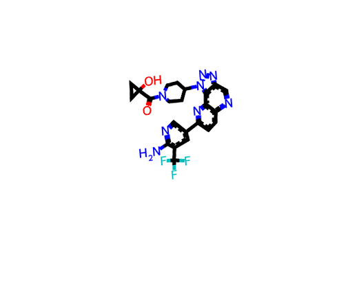 Nc1ncc(-c2ccc3ncc4nnn(C5CCN(C(=O)C6(O)CC6)CC5)c4c3n2)cc1C(F)(F)F